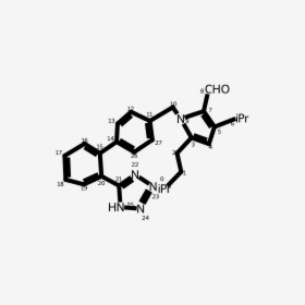 CC(C)CCc1cc(C(C)C)c(C=O)n1Cc1ccc(-c2ccccc2-c2nnn[nH]2)cc1